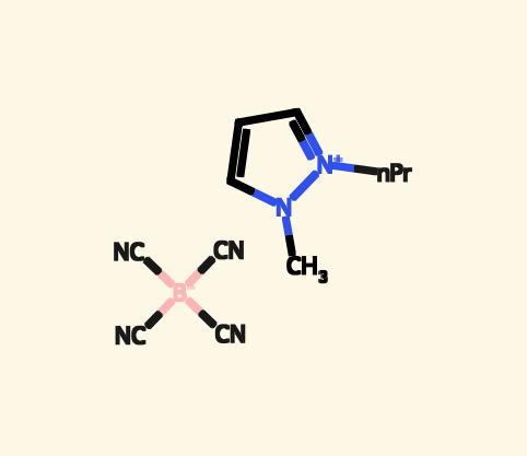 CCC[n+]1cccn1C.N#C[B-](C#N)(C#N)C#N